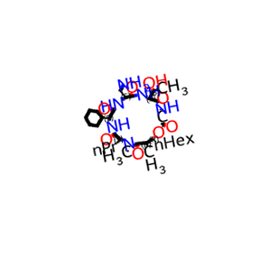 CCCCCC[C@H]1OC(=O)CNC(=O)[C@H]([C@H](C)O)NC(=O)[C@H](CN)NC(=O)[C@H](C2CCCCC2)NC(=O)[C@H](CCC)N(C)C(=O)[C@@H]1C